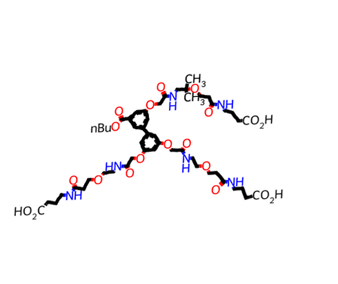 CCCCOC(=O)c1cc(OCC(=O)NCC(C)(C)OCCC(=O)NCCCC(=O)O)cc(-c2cc(OCC(=O)NCCOCCC(=O)NCCCC(=O)O)cc(OCC(=O)NCCOCCC(=O)NCCCC(=O)O)c2)c1